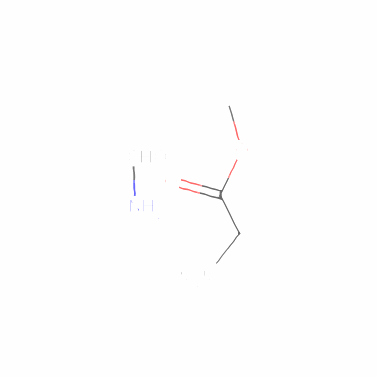 CCOC(=O)CC(=O)O.NC=O